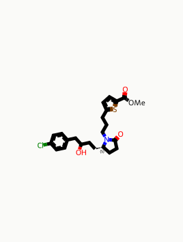 COC(=O)c1ccc(CCCN2C(=O)CC[C@@H]2CCC(O)Cc2ccc(Cl)cc2)s1